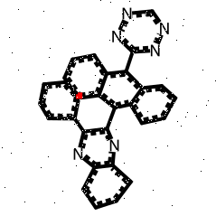 c1ccc(-c2nc3ccccc3nc2-c2c3ccccc3c(-c3nncnn3)c3ccccc23)cc1